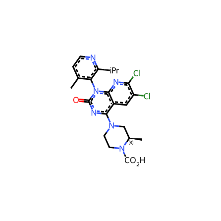 Cc1ccnc(C(C)C)c1-n1c(=O)nc(N2CCN(C(=O)O)[C@H](C)C2)c2cc(Cl)c(Cl)nc21